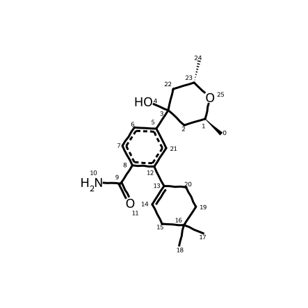 C[C@H]1CC(O)(c2ccc(C(N)=O)c(C3=CCC(C)(C)CC3)c2)C[C@H](C)O1